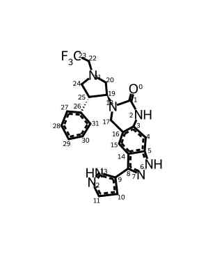 O=C1Nc2cc3[nH]nc(-c4ccn[nH]4)c3cc2CN1[C@@H]1CN(CC(F)(F)F)C[C@H]1c1ccccc1